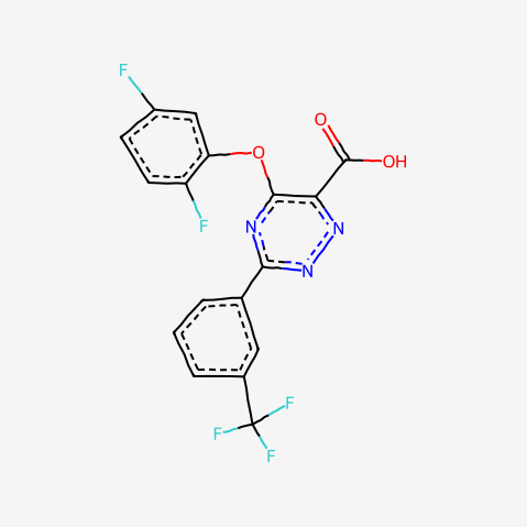 O=C(O)c1nnc(-c2cccc(C(F)(F)F)c2)nc1Oc1cc(F)ccc1F